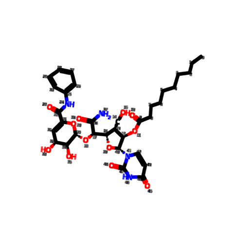 CCCCCCCCCC(=O)O[C@@H]1[C@H](CO)[C@@H]([C@@H](O[C@H]2OC(C(=O)Nc3ccccc3)=C[C@H](O)[C@@H]2O)C(N)=O)O[C@H]1n1ccc(=O)[nH]c1=O